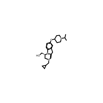 CC(C)N1CCC(Oc2ccc3c(c2)CC2=CN(CC4CC4)C[C@@H](CO)N23)CC1